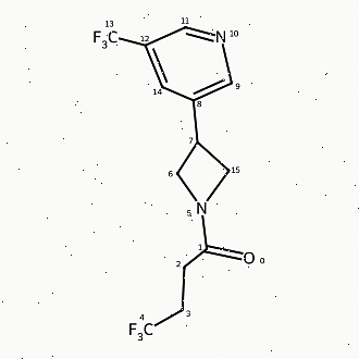 O=C(CCC(F)(F)F)N1CC(c2cncc(C(F)(F)F)c2)C1